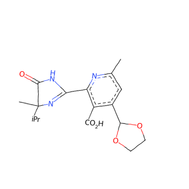 Cc1cc(C2OCCO2)c(C(=O)O)c(C2=NC(C)(C(C)C)C(=O)N2)n1